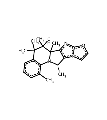 Cc1cccc2c1N1[C@@H](C)c3c(nc4occn34)C1(C)C(C)(C)C2(C)C